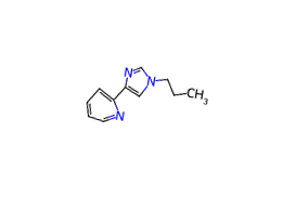 CCCn1cnc(-c2ccccn2)c1